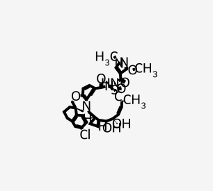 COc1nn(C)cc1C(=O)N[S@@]1(=O)=NC(=O)c2ccc3c(c2)N(C[C@@H]2CC[C@H]2[C@H](O)[C@@H](O)/C=C\[C@H](C)C1)C[C@@]1(CCCc2cc(Cl)ccc21)CO3